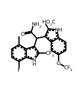 Cc1ccc(F)c2[nH]c(C(F)(F)F)c(C(C(N)=O)c3c(C(=O)O)[nH]c4ccc(OC(F)(F)F)cc34)c12